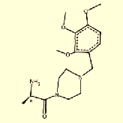 COc1ccc(CN2CCN(C(=O)[C@@H](C)N)CC2)c(OC)c1OC